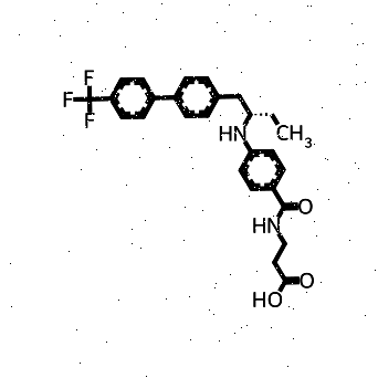 CC[C@@H](Cc1ccc(-c2ccc(C(F)(F)F)cc2)cc1)Nc1ccc(C(=O)NCCC(=O)O)cc1